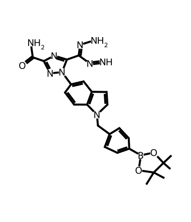 CC1(C)OB(c2ccc(Cn3ccc4cc(-n5nc(C(N)=O)nc5C(N=N)=NN)ccc43)cc2)OC1(C)C